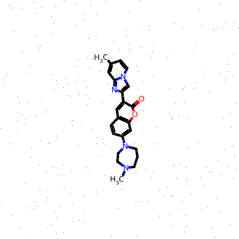 Cc1ccn2cc(-c3cc4ccc(N5CCCN(C)CC5)cc4oc3=O)nc2c1